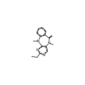 C=C1c2ccccc2N(C)c2nc(CC)ncc2N1C